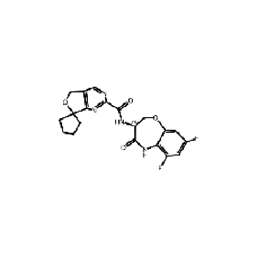 O=C(N[C@H]1COc2cc(F)cc(F)c2NC1=O)c1ncc2c(n1)C1(CCCC1)OC2